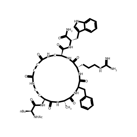 CCCC[C@H](NC(C)=O)C(=O)N[C@H]1CCNC(=O)CCC(=O)NC[C@@H](C(=O)N[C@@H](Cc2c[nH]c3ccccc23)C(N)=O)NC(=O)[C@H](CCCNC(=N)N)NC(=O)C(Cc2ccccc2)NC(=O)[C@H](C)NC1=O